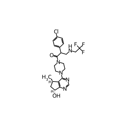 C[C@@H]1C[C@@H](O)c2ncnc(N3CCN(C(=O)C(CNCC(F)(F)F)c4ccc(Cl)cc4)CC3)c21